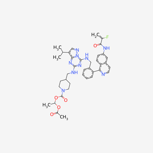 C=C(F)C(=O)Nc1ccc2c(-c3ccccc3CNc3nc(NCC4CCN(C(=O)OC(C)OC(C)=O)CC4)nc4c(C(C)C)cnn34)nccc2c1